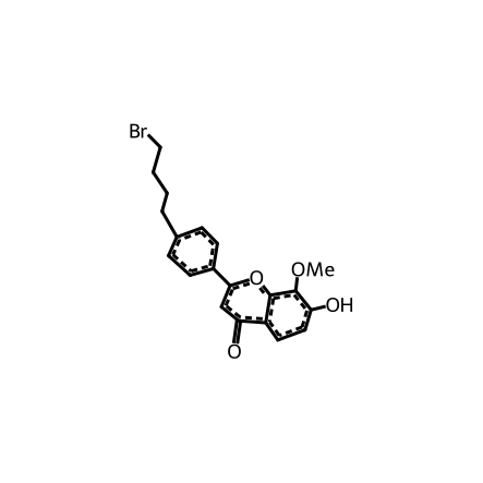 COc1c(O)ccc2c(=O)cc(-c3ccc(CCCCBr)cc3)oc12